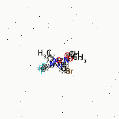 CC1CCc2c(nc(CN3C(=O)C4(CN(C(=O)OC(C)C)C4)c4cc(Br)ccc43)n2CCCC(F)(F)F)C1